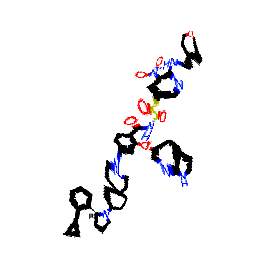 O=C(NS(=O)(=O)c1cnc(NCC2CCOCC2)c([N+](=O)[O-])c1)c1ccc(N2CCC3(CCC(N4CCC[C@@H]4c4ccccc4C4CC4)CC3)CC2)cc1Oc1cnc2[nH]ccc2c1